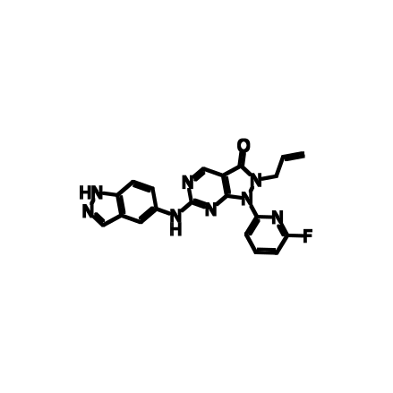 C=CCn1c(=O)c2cnc(Nc3ccc4[nH]ncc4c3)nc2n1-c1cccc(F)n1